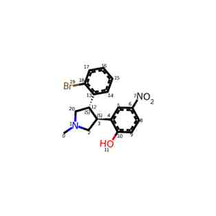 CN1C[C@H](c2cc([N+](=O)[O-])ccc2O)[C@@H](c2ccccc2Br)C1